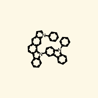 c1ccc(-n2ccc3cc4ccc5c6ccccc6n(-c6ccc7c(c6)c6ccccc6n7-c6ccccc6)c5c4cc32)cc1